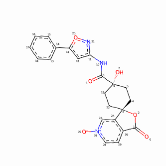 O=C1O[C@]2(CC[C@](O)(C(=O)Nc3cc(-c4ccccc4)on3)CC2)c2c[n+]([O-])ccc21